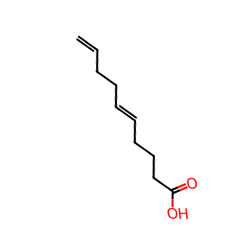 C=CCCC=CCCCC(=O)O